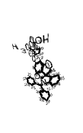 CC(C)(C)C1[C@@H](Oc2ccc3c(c2)OCC32C(=O)N(C(c3ccccc3)c3ccccc3)c3ccccc32)CCN1C(=O)O